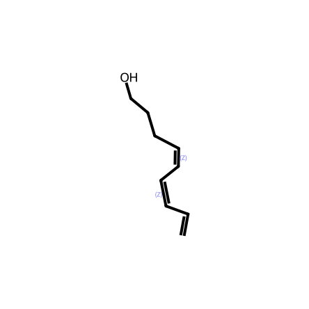 C=C/C=C\C=C/CCCO